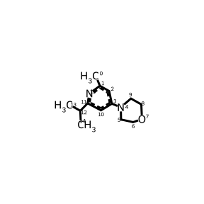 Cc1cc(N2CCOCC2)cc(C(C)C)n1